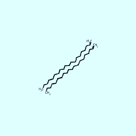 C=CCCCCCCCCCCCCCCCCCC.C=CCCCCCCCCCCCCCCCCCC